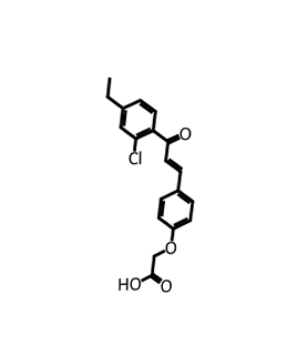 CCc1ccc(C(=O)C=Cc2ccc(OCC(=O)O)cc2)c(Cl)c1